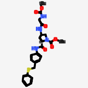 CC(C)(C)OC(=O)NCC(=O)NC1C[C@@H](C(=O)Nc2ccc(CSc3ccccc3)cc2)N(C(=O)OC(C)(C)C)C1